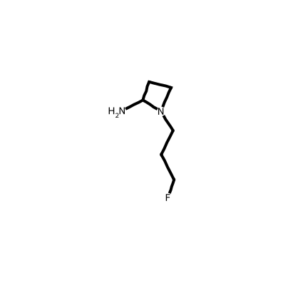 NC1CCN1CCCF